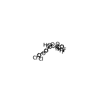 O=C(CC(CCn1nnc2c(C(F)(F)F)cccc2c1=O)C(=O)O)c1ccc(OCc2ccc(Cl)c(Cl)c2)cc1